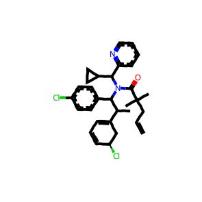 C=CCC(C)(C)C(=O)N(C(c1ccccn1)C1CC1)C(c1ccc(Cl)cc1)C(C)C1=CC=C[C@H](Cl)C1